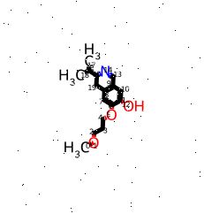 COCCCOc1cc2c(cc1O)C=NC(C(C)C)C2